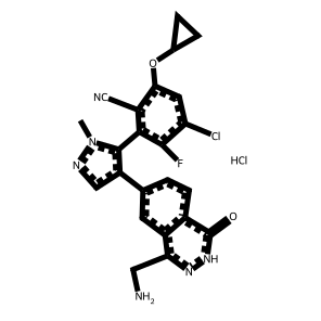 Cl.Cn1ncc(-c2ccc3c(=O)[nH]nc(CN)c3c2)c1-c1c(F)c(Cl)cc(OC2CC2)c1C#N